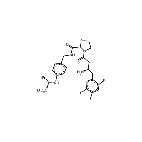 CCOC(=O)[C@H](Nc1ccc(CNC(=O)[C@H]2SCCN2C(=O)C[C@H](N)Cc2cc(F)c(F)cc2F)cc1)C(C)C